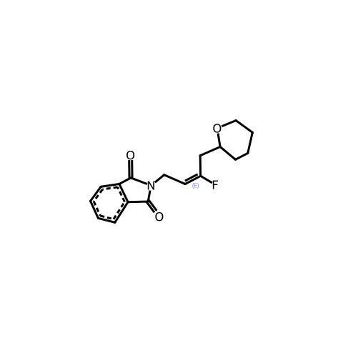 O=C1c2ccccc2C(=O)N1C/C=C(/F)CC1CCCCO1